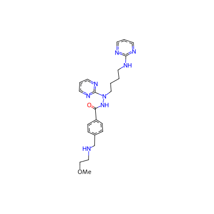 COCCNCc1ccc(C(=O)NN(CCCCNc2ncccn2)c2ncccn2)cc1